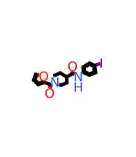 O=C(Nc1ccc(I)cc1)C1CCN(C(=O)c2ccco2)CC1